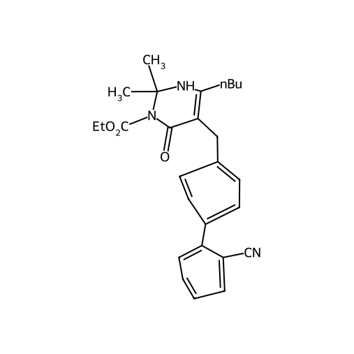 CCCCC1=C(Cc2ccc(-c3ccccc3C#N)cc2)C(=O)N(C(=O)OCC)C(C)(C)N1